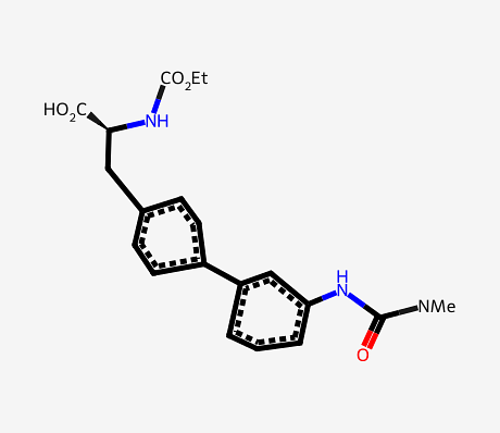 CCOC(=O)N[C@@H](Cc1ccc(-c2cccc(NC(=O)NC)c2)cc1)C(=O)O